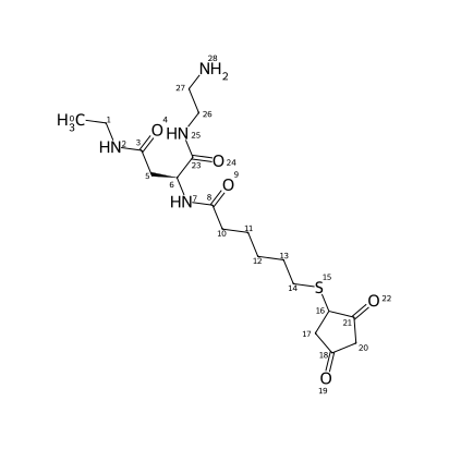 CCNC(=O)C[C@H](NC(=O)CCCCCSC1CC(=O)CC1=O)C(=O)NCCN